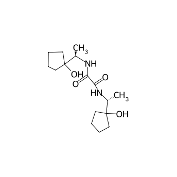 C[C@@H](NC(=O)C(=O)N[C@H](C)C1(O)CCCC1)C1(O)CCCC1